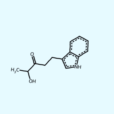 CC(O)C(=O)CCc1c[nH]c2ccccc12